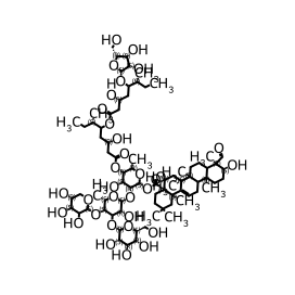 CC[C@H](C)C(C[C@@H](O)CC(=O)O[C@@H]1[C@H](O)[C@@H](O[C@@H]2O[C@@H](C)[C@H](O[C@@H]3OC[C@@H](O)[C@H](O)C3O)C(O[C@H]3O[C@@H](CO)[C@H](O)[C@@H](O)[C@@H]3O)[C@H]2O)[C@H](OC(=O)[C@]23CCC(C)(C)C[C@@]2(C)C2=CCC4[C@@]5(C)CC[C@H](O)[C@@](C)(C=O)C5CC[C@@]4(C)[C@]2(C)C[C@H]3O)O[C@@H]1C)OC(=O)C[C@H](O)CC(O[C@H]1O[C@H](CO)[C@@H](O)[C@@H]1O)[C@@H](C)CC